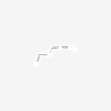 C=C=COC=O